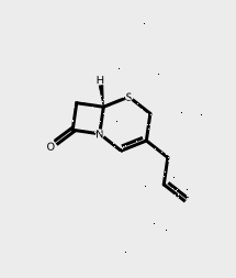 C=CCC1=CN2C(=O)C[C@@H]2SC1